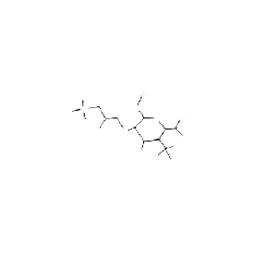 CCC(C)OC1OC(C(C)O)C(C(O)(CC)CC)C(O)C1OCC(O)C[N+](C)(C)C